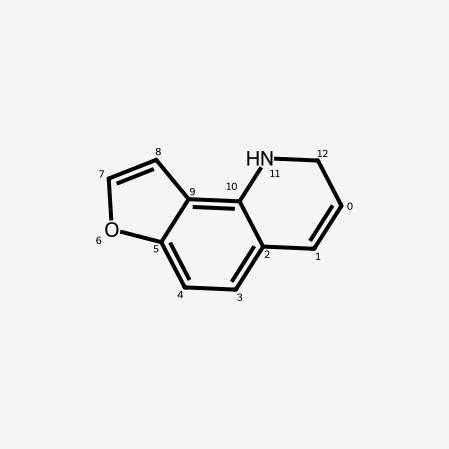 C1=Cc2ccc3occc3c2NC1